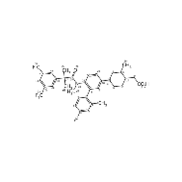 Cc1cc(F)ccc1-c1cc(N2CCC(CC(=O)O)C(C)C2)ncc1N(C)C(=O)C(C)(C)c1cc(C(F)(F)F)cc(C(F)(F)F)c1